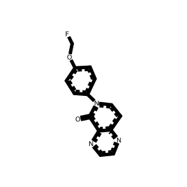 O=c1c2nccnc2ccn1-c1ccc(OCF)cc1